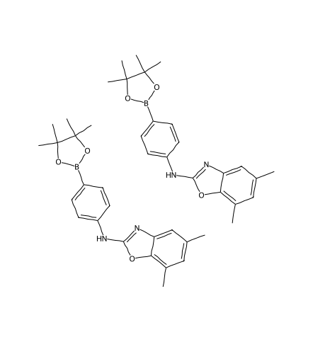 Cc1cc(C)c2oc(Nc3ccc(B4OC(C)(C)C(C)(C)O4)cc3)nc2c1.Cc1cc(C)c2oc(Nc3ccc(B4OC(C)(C)C(C)(C)O4)cc3)nc2c1